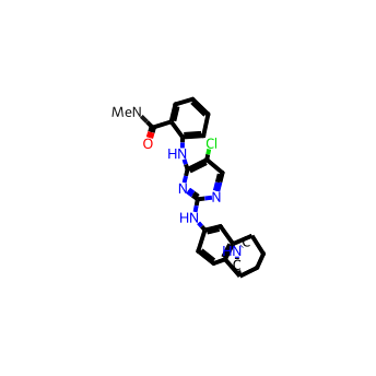 CNC(=O)c1ccccc1Nc1nc(Nc2ccc3c(c2)C2CCC3CNC2)ncc1Cl